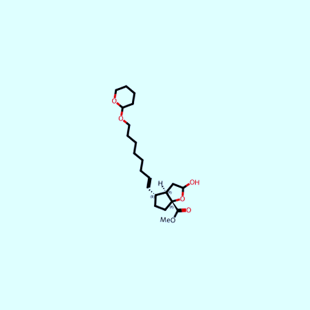 COC(=O)[C@@]12CC[C@H](C=CCCCCCCOC3CCCCO3)[C@H]1CC(O)O2